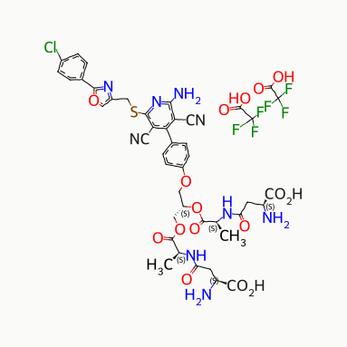 C[C@H](NC(=O)C[C@H](N)C(=O)O)C(=O)OC[C@H](COc1ccc(-c2c(C#N)c(N)nc(SCc3coc(-c4ccc(Cl)cc4)n3)c2C#N)cc1)OC(=O)[C@H](C)NC(=O)C[C@H](N)C(=O)O.O=C(O)C(F)(F)F.O=C(O)C(F)(F)F